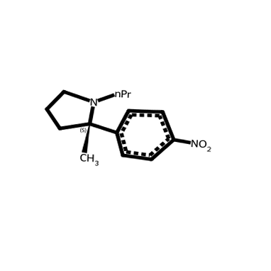 CCCN1CCC[C@@]1(C)c1ccc([N+](=O)[O-])cc1